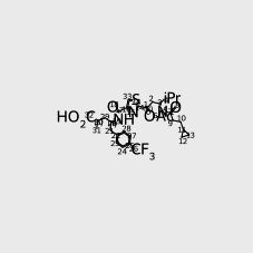 CC(=O)O[C@H](CC(C(C)C)N(C)C(=O)CCC1CC1)c1nc(C(=O)N[C@@H](Cc2ccc(C(F)(F)F)cc2)C[C@H](C)C(=O)O)cs1